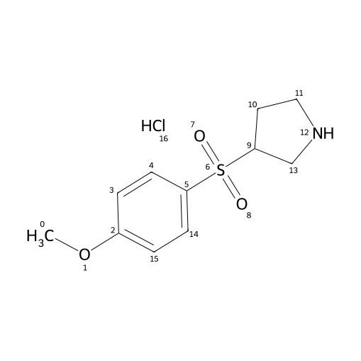 COc1ccc(S(=O)(=O)C2CCNC2)cc1.Cl